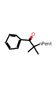 CCCCCC(C)(C)C(=O)c1cc[c]cc1